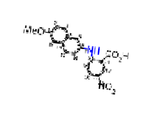 COc1ccc2cc(Nc3ccc([N+](=O)[O-])cc3C(=O)O)ccc2c1